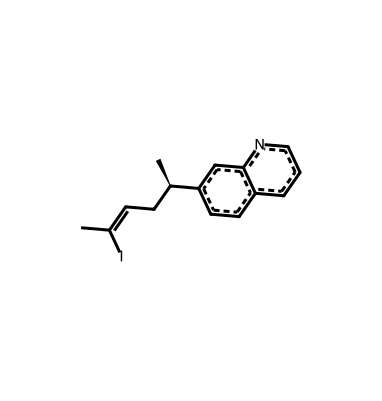 C/C(I)=C/C[C@@H](C)c1ccc2cccnc2c1